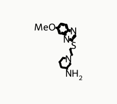 COc1ccc2ncc(SCCN3CCCC(N)C3)nc2c1